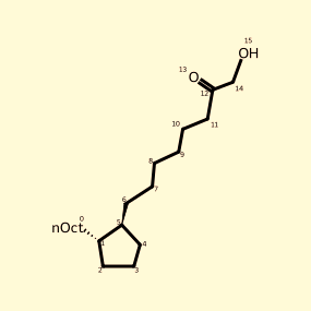 CCCCCCCC[C@H]1CCC[C@@H]1CCCCCCC(=O)CO